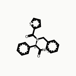 NC(=O)[C@@H](c1ccccc1)N(Cc1ccccc1)C(=O)c1cccs1